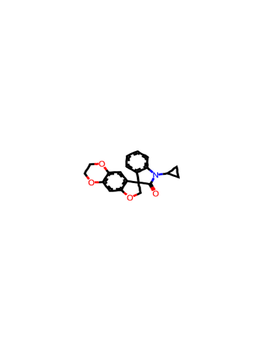 O=C1N(C2CC2)c2ccccc2C12COc1cc3c(cc12)OCCO3